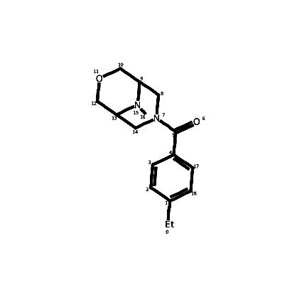 CCc1ccc(C(=O)N2CC3COCC(C2)N3C)cc1